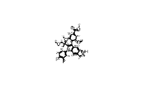 COCC(C)(C)c1c(-c2c(OC)cc(C(=O)OC)cc2OC)c2cc3[nH]ncc3cc2n1-c1ccc(F)c(F)c1